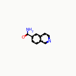 NC(=O)c1ccc2cnccc2c1